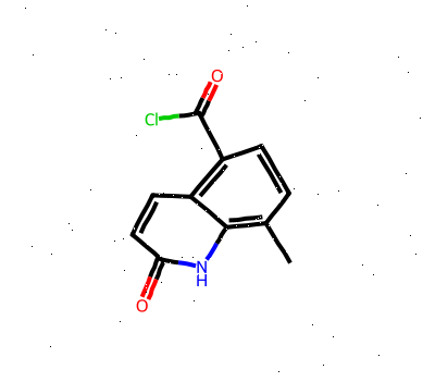 Cc1ccc(C(=O)Cl)c2ccc(=O)[nH]c12